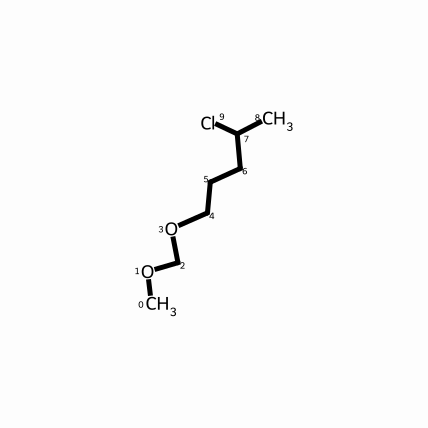 COCOCCCC(C)Cl